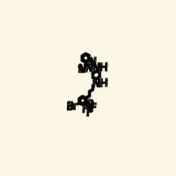 CN(C)c1nc(N[C@H]2CC[C@@H](NCCCCc3ccc(Br)cc3OC(F)(F)F)CC2)nc2ccccc12